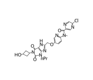 CCCn1c(=O)n(C2CC(O)C2)c(=O)c2[nH]c(COc3ccc(N(C)C(=O)c4cnc(Cl)cn4)nc3)nc21